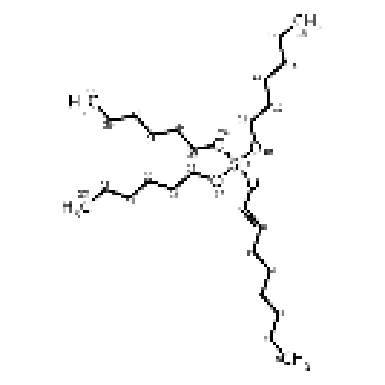 CCCCCCC=CO[Si](OCCCCCC)(OCCCCCC)OCCCCCC